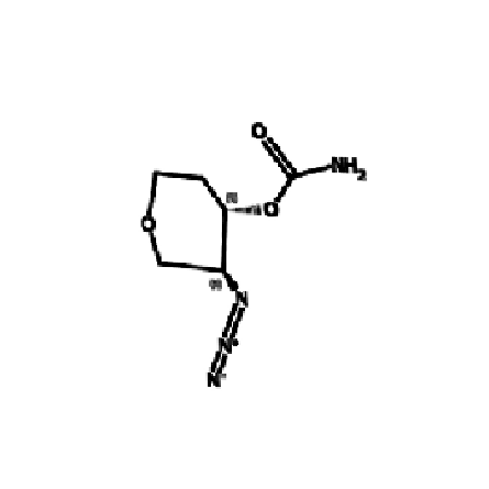 [N-]=[N+]=N[C@H]1COCC[C@@H]1OC(N)=O